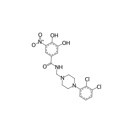 O=C(NCN1CCN(c2cccc(Cl)c2Cl)CC1)c1cc(O)c(O)c([N+](=O)[O-])c1